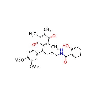 COc1ccc(C(CCCNC(=O)c2ccccc2O)C2=C(C)C(=O)C(C)=C(C)C2=O)cc1OC